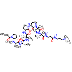 CCCCCCCC[C@@H](C(=O)N[C@@H](CC(C)C)C(=O)NC(C)(C)C(=O)N[C@@H](CC(C)C)C(=O)N[C@@H](CC(C)C)C(=O)NC(C)(C)C(=O)NC(C)(C)C(=O)NCCC(=O)NCCCN(C)C)N(C=O)[C@@H]1CCCN1C(=O)CCCCC